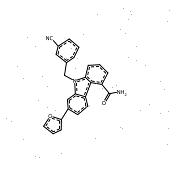 N#Cc1cccc(Cn2c3cc(-c4ccco4)c[c]c3c3c(C(N)=O)cccc32)c1